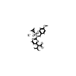 COc1ccc(CN(c2nccc(C(C(=O)[O-])C(C)C)n2)S(=O)(=O)C2CC2)cc1.[K+]